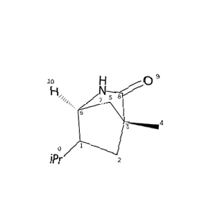 CC(C)C1C[C@]2(C)C[C@@H]1NC2=O